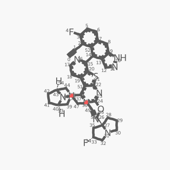 C#Cc1c(F)ccc2cc3[nH]ncc3c(-c3nccc4c3sc3nc(OC[C@@]56CCCN5C[C@H](F)C6)nc(N5C[C@H]6CC[C@@H](C5)N6CCCC#N)c34)c12